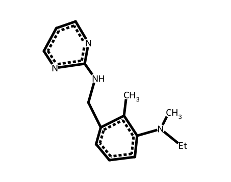 CCN(C)c1cccc(CNc2ncccn2)c1C